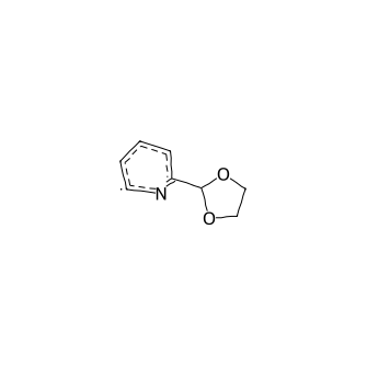 [c]1cccc(C2OCCO2)n1